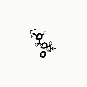 O=C(c1cc(F)cc(C(F)(F)F)c1)N1CCC2(CC1)C(=O)NCN2c1ccccc1